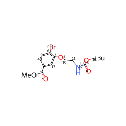 COC(=O)c1ccc(Br)c(OCCNC(=O)OC(C)(C)C)c1